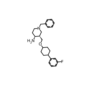 N[C@H]1CCN(Cc2ccccc2)C[C@H]1COC1CCC(c2cccc(F)c2)CC1